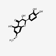 COc1cc(O)c2c(c1)O[C@H](c1ccc(O)c(O)c1)[C@@H](O)C2=O